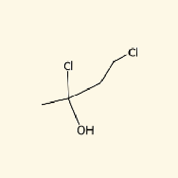 CC(O)(Cl)CCCl